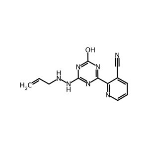 C=CCNNc1nc(O)nc(-c2ncccc2C#N)n1